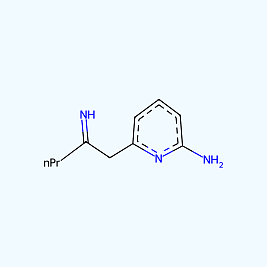 CCCC(=N)Cc1cccc(N)n1